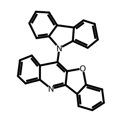 c1ccc2c(-n3c4ccccc4c4ccccc43)c3oc4ccccc4c3nc2c1